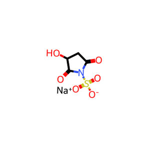 O=C1CC(O)C(=O)N1S(=O)(=O)[O-].[Na+]